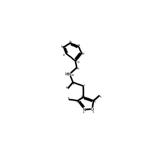 Cc1noc(C)c1CC(C)NCc1ccccc1